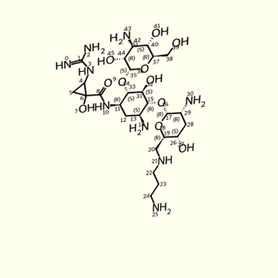 N=C(N)NC1CC1(O)C(=O)N[C@@H]1C[C@H](N)[C@@H](O[C@H]2O[C@H](CNCCCN)[C@@H](O)C[C@H]2N)[C@H](O)[C@H]1O[C@H]1O[C@H](CO)[C@@H](O)[C@H](N)[C@H]1O